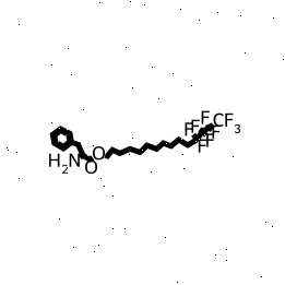 NC(Cc1ccccc1)C(=O)OCCCCCCCCCCCC(F)(F)C(F)(F)C(F)(F)C(F)(F)F